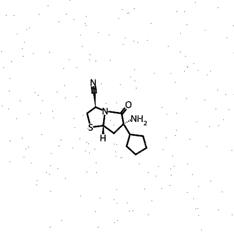 N#C[C@@H]1CS[C@H]2C[C@](N)(C3CCCC3)C(=O)N12